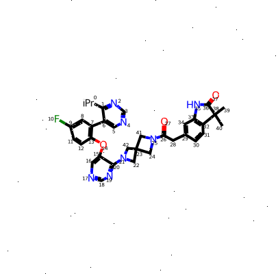 CC(C)c1ncncc1-c1cc(F)ccc1Oc1cncnc1N1CC2(CN(C(=O)Cc3ccc4c(c3)NC(=O)C4(C)C)C2)C1